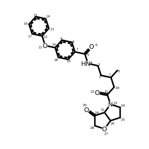 CC(CCNC(=O)c1ccc(Oc2ccccc2)cc1)CC(=O)N1CCC2OCC(=O)C21